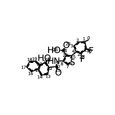 Cc1ccc(-c2scc(NC(=O)c3ccc4ccccc4c3O)c2C(=O)O)c(F)c1F